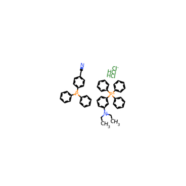 CCN(CC)c1cccc([P+](c2ccccc2)(c2ccccc2)c2ccccc2)c1.Cl.Cl.N#Cc1ccc(P(c2ccccc2)c2ccccc2)cc1.[Cl-]